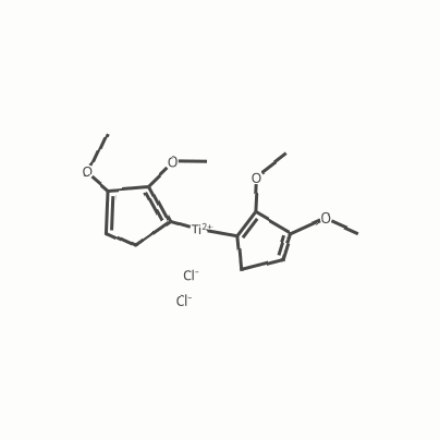 COC1=CC[C]([Ti+2][C]2=C(OC)C(OC)=CC2)=C1OC.[Cl-].[Cl-]